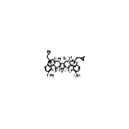 Cc1ccc(O)c2c1[C@]13CCN(CC4CC4)[C@H](C)[C@]1(O)Cc1c4c(n(C)c1[C@@H]3O2)[C@@H]1Oc2c(O)ccc3c2[C@@]12CCN(CC1CC1)C(C3)[C@]2(O)C4